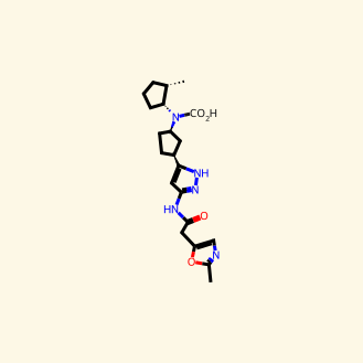 Cc1ncc(CC(=O)Nc2cc([C@H]3CC[C@@H](N(C(=O)O)[C@@H]4CCC[C@@H]4C)C3)[nH]n2)o1